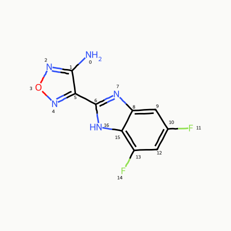 Nc1nonc1-c1nc2cc(F)cc(F)c2[nH]1